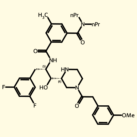 CCCN(CCC)C(=O)c1cc(C)cc(C(=O)N[C@@H](Cc2cc(F)cc(F)c2)C(O)[C@H]2CN(C(=O)Cc3cccc(OC)c3)CCN2)c1